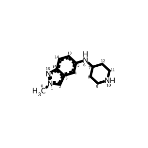 Cn1cc2cc(NC3CCNCC3)ccc2n1